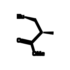 CC[C@H](C)C[C@H](C)C(=O)OC